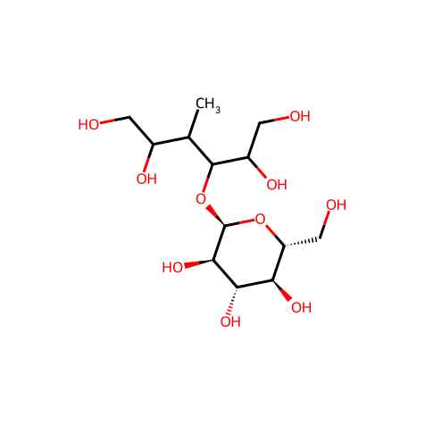 CC(C(O)CO)C(O[C@H]1O[C@H](CO)[C@@H](O)[C@H](O)[C@H]1O)C(O)CO